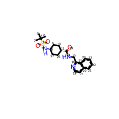 CC(C)(C)S(=O)(=O)N[C@H]1CC[C@H](C(=O)NCc2nccc3ccccc23)CC1